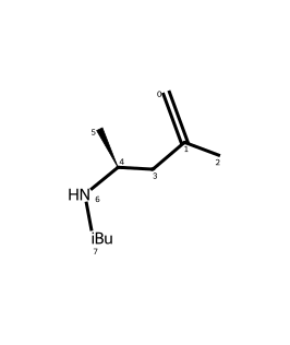 C=C(C)C[C@H](C)NC(C)CC